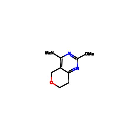 CNc1nc(OC)nc2c1COCC2